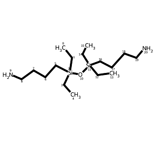 CC[Si](CC)(CCCCN)O[Si](CC)(CC)CCCCN